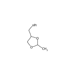 CCCCC1COC(C)O1